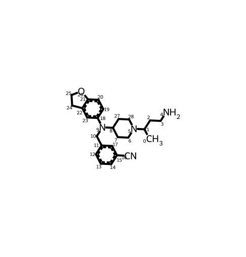 CC(CCN)N1CCC(N(Cc2cccc(C#N)c2)c2ccc3c(c2)CCO3)CC1